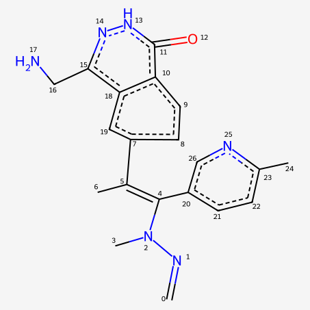 C=NN(C)/C(=C(\C)c1ccc2c(=O)[nH]nc(CN)c2c1)c1ccc(C)nc1